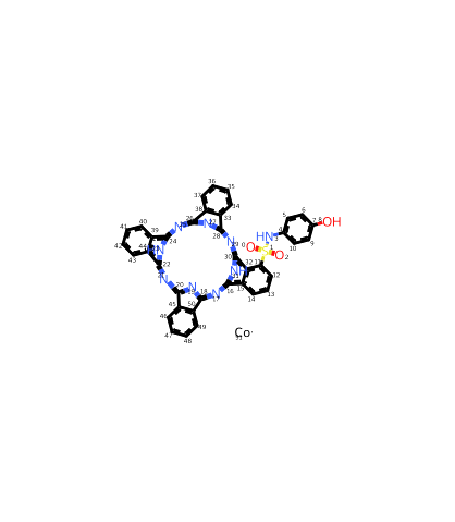 O=S(=O)(Nc1ccc(O)cc1)c1cccc2c3nc4nc(nc5[nH]c(nc6nc(nc([nH]3)c12)-c1ccccc1-6)c1ccccc51)-c1ccccc1-4.[Co]